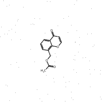 CC(=O)OCc1cccc2c(=O)ccoc12